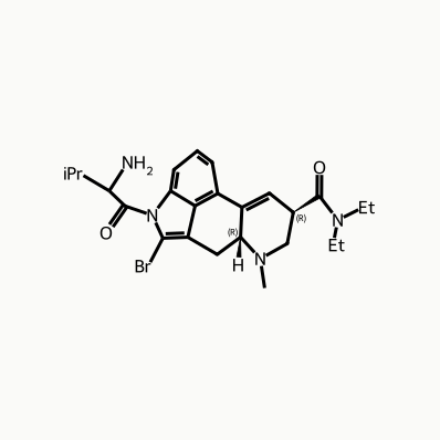 CCN(CC)C(=O)[C@@H]1C=C2c3cccc4c3c(c(Br)n4C(=O)C(N)C(C)C)C[C@H]2N(C)C1